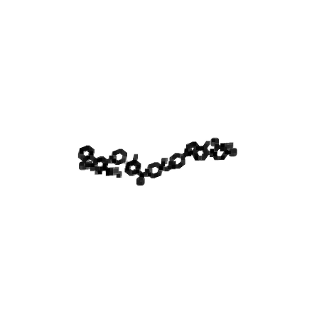 Cc1cc(C(=O)N2CCC(F)(CN3CCC(n4ccc5c(C)c(N6CCC(=O)NC6=O)ccc54)CC3)CC2)ccc1[C@H]1CCCN(c2cc(-c3ccccc3O)nnc2N)C1